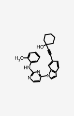 Cc1ccccc1Nc1nccc(-n2ccc3ccc(C#CC4(O)CCCCC4)cc32)n1